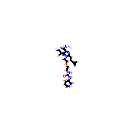 Cc1nc(N)c2nc(CCC3CC3)n(CCOCCNC(=O)Nc3cccnc3)c2c1C